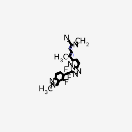 C=N/C(C#N)=C\C=C(/C)c1ccc2nnc(C(F)(F)c3ccc4nn(C)cc4c3F)n2n1